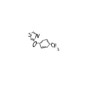 FC(F)(F)c1ccc(Oc2cs[c]n2)cc1